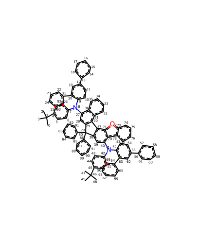 CC(C)(C)c1ccc(N(c2ccc(-c3ccccc3)cc2-c2ccccc2)c2cc3c(c4ccccc24)-c2c(cc(N(c4ccc(C(C)(C)C)cc4)c4ccc(-c5ccccc5)cc4-c4ccccc4)c4c2oc2ccccc24)C3(c2ccccc2)c2ccccc2)cc1